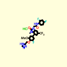 COc1cc(-c2cc(C(F)(F)F)cc3c2n(C)c(=O)n3CC(=O)Nc2ccc(F)cc2F)cc(F)c1OCc1nnc[nH]1.Cl